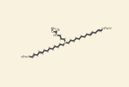 CCCCC/C=C/C/C=C/CCCCCCCCN(CCCCCCCC/C=C/C/C=C/CCCCC)CCCNC(=O)OC(C)(C)C